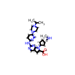 CC(C)N1CCN(c2ccc(Nc3ncc4cc(C(=O)O)n(C5CCCC5)c4n3)nn2)CC1.CNC